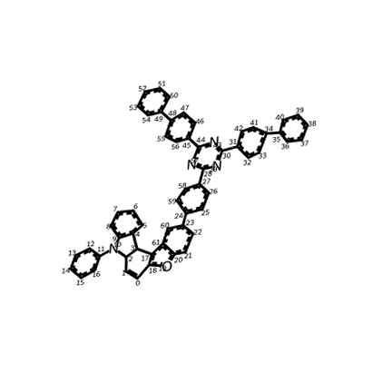 C1=CC2C(c3ccccc3N2c2ccccc2)c2c1oc1ccc(-c3ccc(-c4nc(-c5ccc(-c6ccccc6)cc5)nc(-c5ccc(-c6ccccc6)cc5)n4)cc3)cc21